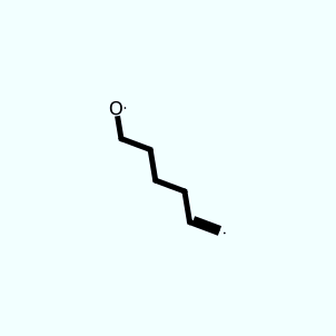 [CH]=CCCCC[O]